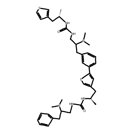 C[C@H](Cc1csc(-c2cccc(CC(CNC(=O)N[C@@H](C)Cc3ccsc3)N(C)C)c2)c1)NC(=O)NCC(Cc1ccccc1)N(C)C